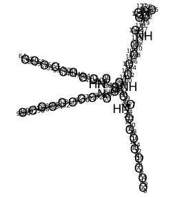 COCCOCCOCCOCCOCCOCCOCCOCCNC(=O)CCOCC(COCCC(=O)NCCOCCOCCOCCOCCOCCOCCOCCOC)(COCCC(=O)NCCOCCOCCOCCOCCOCCOCCOCCOC)NC(=O)CCOCCOCCOCCOCCNC(=O)CCCC(=O)ON1C(=O)CCC1=O